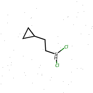 Cl[SiH](Cl)CCC1CC1